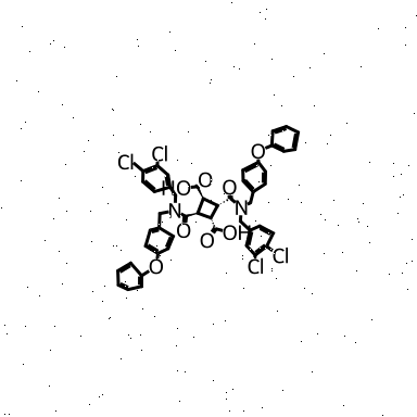 O=C(O)[C@H]1[C@H](C(=O)N(Cc2ccc(Oc3ccccc3)cc2)Cc2ccc(Cl)c(Cl)c2)[C@H](C(=O)O)[C@H]1C(=O)N(Cc1ccc(Oc2ccccc2)cc1)Cc1ccc(Cl)c(Cl)c1